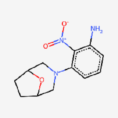 Nc1cccc(N2CC3CCC(C2)O3)c1[N+](=O)[O-]